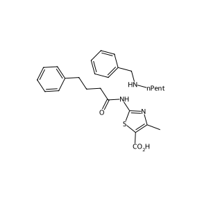 CCCCCNCc1ccccc1.Cc1nc(NC(=O)CCCc2ccccc2)sc1C(=O)O